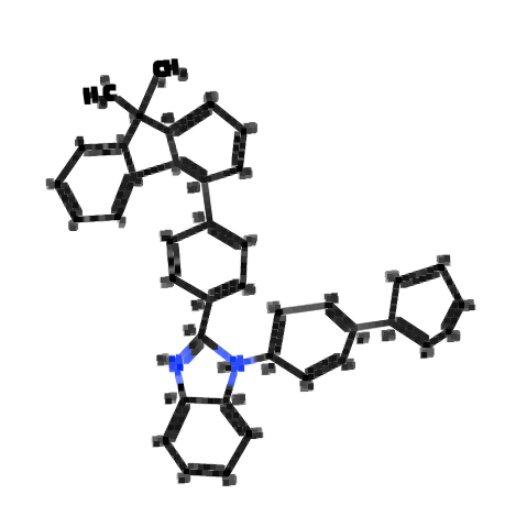 CC1(C)c2ccccc2-c2c(-c3ccc(-c4nc5ccccc5n4-c4ccc(-c5ccccc5)cc4)cc3)cccc21